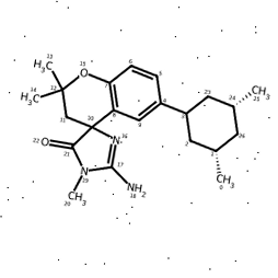 C[C@@H]1CC(c2ccc3c(c2)C2(CC(C)(C)O3)N=C(N)N(C)C2=O)C[C@H](C)C1